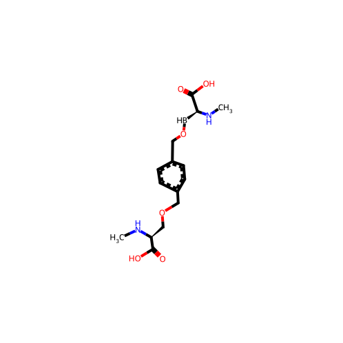 CN[C@@H](BOCc1ccc(COC[C@H](NC)C(=O)O)cc1)C(=O)O